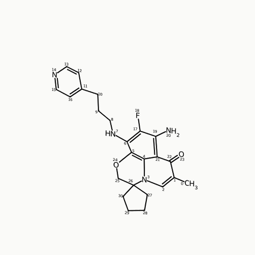 Cc1cn2c3c(c(NCCCc4ccncc4)c(F)c(N)c3c1=O)OCC21CCCC1